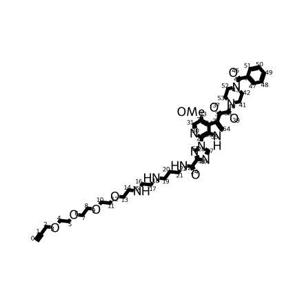 C#CCOCCOCCOCCOCCNCCNCCCNC(=O)c1ncn(-c2ncc(OC)c3c(C(=O)C(=O)N4CCN(C(=O)c5ccccc5)CC4)c[nH]c23)n1